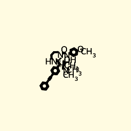 COc1ccc(NC(=O)N2CCCCN[C@H]([C@@H](c3ccc(C#Cc4ccccc4)cc3)C(C)(CO)CN(C)C)C2)cc1